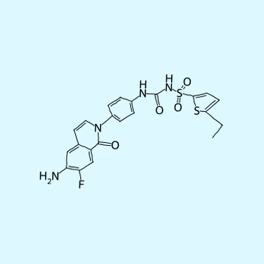 CCc1ccc(S(=O)(=O)NC(=O)Nc2ccc(-n3ccc4cc(N)c(F)cc4c3=O)cc2)s1